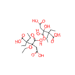 CCC(CC)(C(=O)O)C(O)(CC(=O)O)C(=O)O.CCOC(CC(=O)O)(C(=O)O)C(CC)(CC)C(=O)O